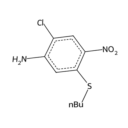 CCCCSc1cc(N)c(Cl)cc1[N+](=O)[O-]